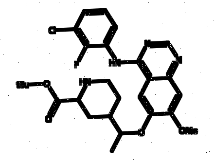 COc1cc2ncnc(Nc3cccc(Cl)c3F)c2cc1OC(C)C1CCNC(C(=O)OC(C)(C)C)C1